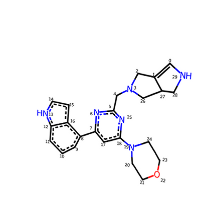 C1=C2CN(Cc3nc(-c4cccc5[nH]ccc45)cc(N4CCOCC4)n3)CC2CN1